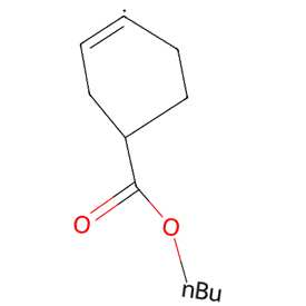 CCCCOC(=O)C1CC=[C]CC1